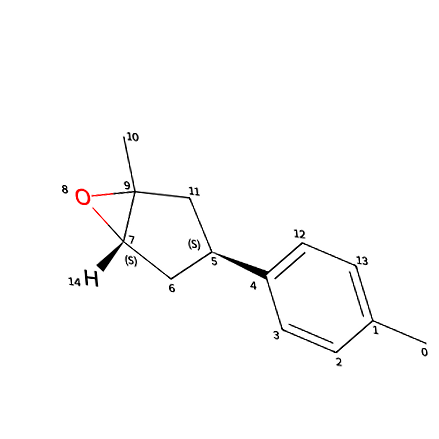 Cc1ccc([C@H]2C[C@@H]3OC3(C)C2)cc1